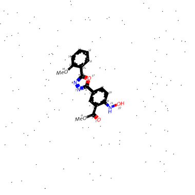 COC(=O)c1cc(-c2nnc(-c3ccccc3OC)o2)ccc1NO